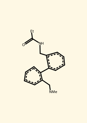 CCC(=O)NCc1ccccc1-c1ccccc1CNC